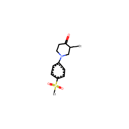 CCC1CN(c2ccc(S(=O)(=O)CC)cc2)CCC1=O